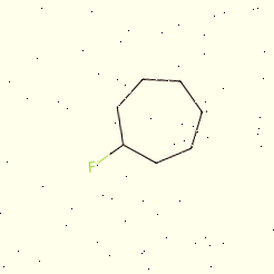 FC1CC[CH]CCC1